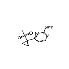 CSc1nccc(C2(S(C)(=O)=O)CC2)n1